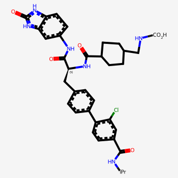 CC(C)NC(=O)c1ccc(-c2ccc(C[C@H](NC(=O)C3CCC(CNC(=O)O)CC3)C(=O)Nc3ccc4[nH]c(=O)[nH]c4c3)cc2)c(Cl)c1